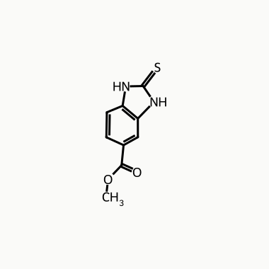 COC(=O)c1ccc2[nH]c(=S)[nH]c2c1